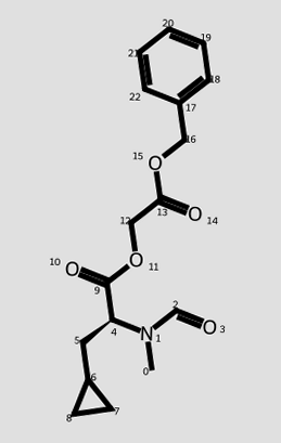 CN(C=O)[C@@H](CC1CC1)C(=O)OCC(=O)OCc1ccccc1